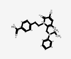 CC(C)N(Cc1c(Cl)cc(Cl)c(=O)n1CCc1ccc(C(=O)O)cc1)c1ccccc1